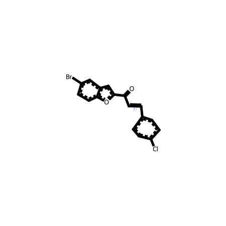 O=C(/C=C/c1ccc(Cl)cc1)c1cc2cc(Br)ccc2o1